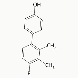 Cc1c(F)ccc(-c2ccc(O)cc2)c1C